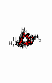 CCCC[C@H](NC(C)=O)C(=O)N[C@H]1CSSC[C@H](C(N)=O)NC(=O)[C@H](Cc2c[nH]c3ccccc23)NC(=O)[C@H](CCCNC(=N)N)NC(=O)[C@@H](Cc2ccccc2)NC(=O)[C@H](Cc2c[nH]cn2)NC(=O)[C@@H](C)NC1=O